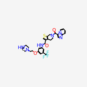 O=C(Nc1cc(OCCN2CCNCC2)cc(C(F)(F)F)c1)c1csc2c1CCN(C(=O)c1cnc3ccccn13)C2